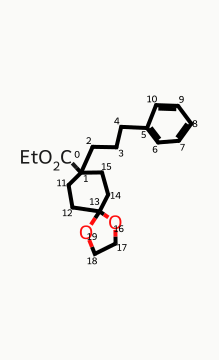 CCOC(=O)C1(CCCc2ccccc2)CCC2(CC1)OCCO2